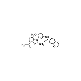 Cc1ccc(NC(=O)c2ccc3c(c2)OCCO3)cc1N1c2cccc(C(N)=O)c2SC1N